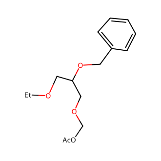 CCOCC(COCOC(C)=O)OCc1ccccc1